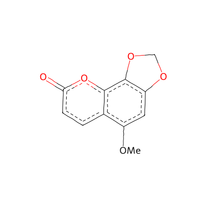 COc1cc2c(c3oc(=O)ccc13)OCO2